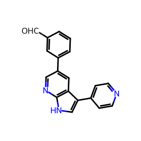 O=Cc1cccc(-c2cnc3[nH]cc(-c4ccncc4)c3c2)c1